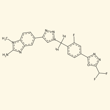 [2H]C([2H])(c1ccc(-c2nnc(C(F)F)o2)cc1F)n1cc(-c2ccc3c(c2)nc(N)n3C)nn1